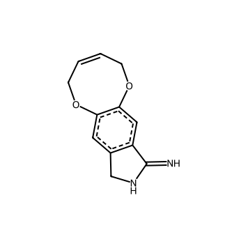 N=C1NCc2cc3c(cc21)OCC=CCO3